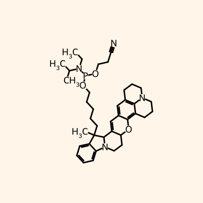 CCN(C(C)C)P(OCCC#N)OCCCCCC1(C)c2ccccc2N2CCC3Oc4c(cc5c6c4CCCN6CCC5)C=C3C21